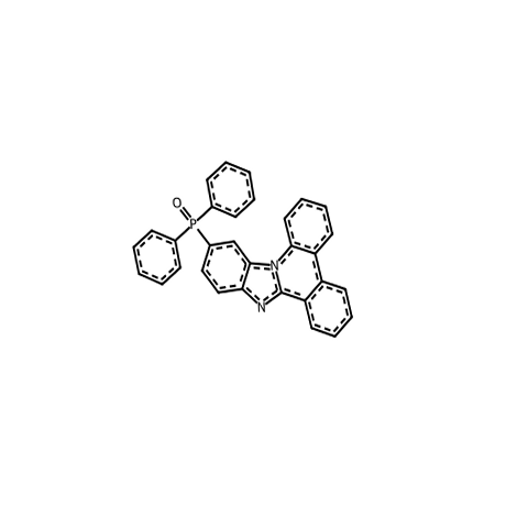 O=P(c1ccccc1)(c1ccccc1)c1ccc2nc3c4ccccc4c4ccccc4n3c2c1